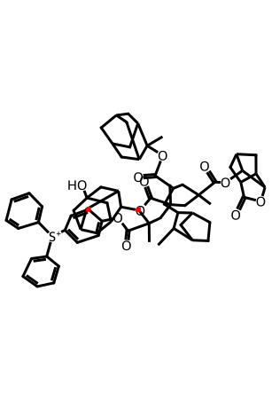 CC1C2CCC(C2)C1CC(CC(C)(CC(C)(CC(C)(C)C(=O)Oc1ccc([S+](c2ccccc2)c2ccccc2)cc1)C(=O)OC1C2CC3CC1CC(O)(C3)C2)C(=O)OC1C2CC3C(=O)OC1C3C2)C(=O)OC1(C)C2CC3CC(C2)CC1C3